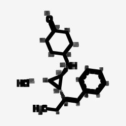 CCC(=Cc1ccccc1)[C@@H]1C[C@H]1NC1CCC(=O)CC1.Cl